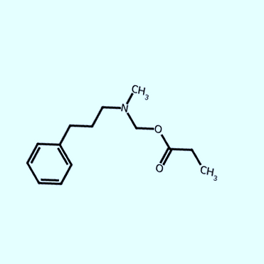 CCC(=O)OCN(C)CCCc1ccccc1